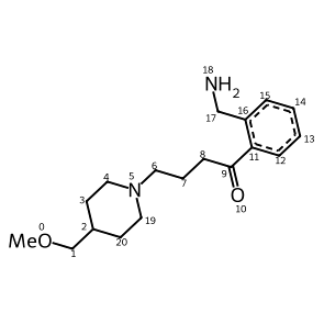 COCC1CCN(CCCC(=O)c2ccccc2CN)CC1